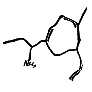 C=NC1CC(C)=CC=C(C(N)CC)C1